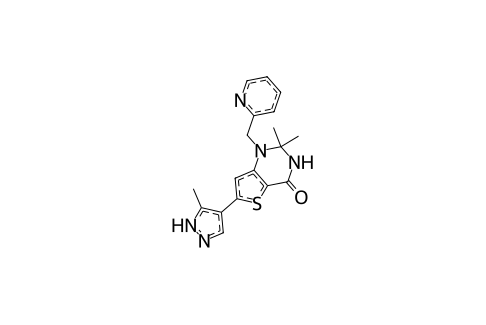 Cc1[nH]ncc1-c1cc2c(s1)C(=O)NC(C)(C)N2Cc1ccccn1